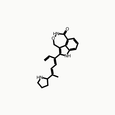 C=C/C(=C\C=C(/C)C1CCCN1)c1[nH]c2cccc3c2c1CONC3=O